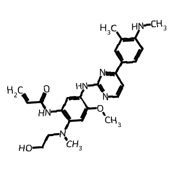 C=CC(=O)Nc1cc(Nc2nccc(-c3ccc(NC)c(C)c3)n2)c(OC)cc1N(C)CCO